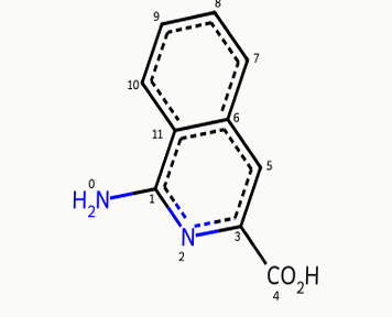 Nc1nc(C(=O)O)cc2ccccc12